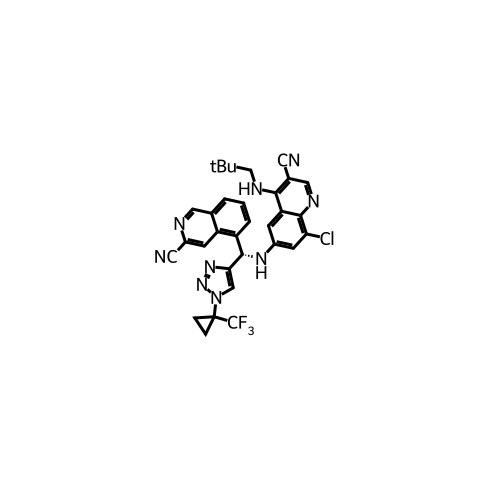 CC(C)(C)CNc1c(C#N)cnc2c(Cl)cc(N[C@H](c3cn(C4(C(F)(F)F)CC4)nn3)c3cccc4cnc(C#N)cc34)cc12